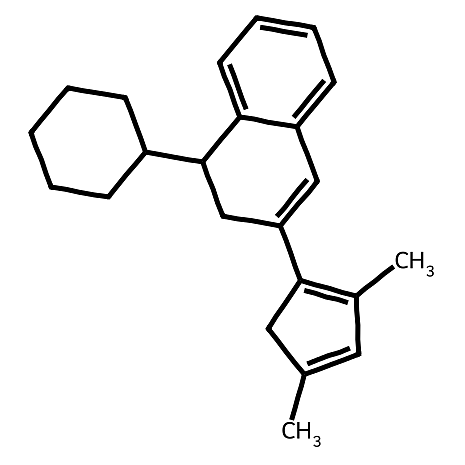 CC1=CC(C)=C(C2=Cc3ccccc3C(C3CCCCC3)C2)C1